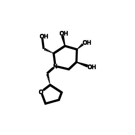 OC[C@@H]1[C@@H](O)[C@H](O)[C@@H](O)CN1C[C@@H]1CCCO1